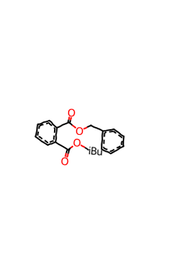 CCC(C)OC(=O)c1ccccc1C(=O)OCc1ccccc1